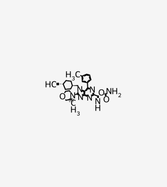 C#C[C@H]1CC[C@H](Cn2c(N3CCOC[C@H]3C)nc3nc(C(=N)OC(N)=O)nc(-c4cccc(C)c4)c32)CC1